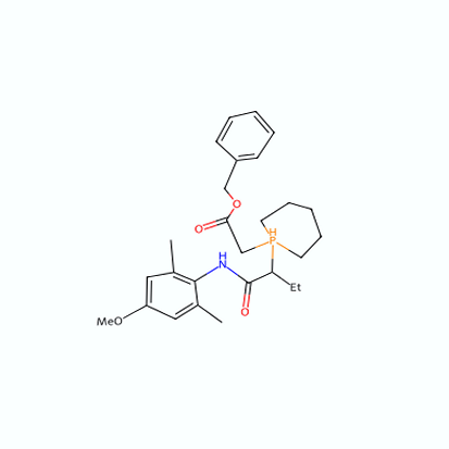 CCC(C(=O)Nc1c(C)cc(OC)cc1C)[PH]1(CC(=O)OCc2ccccc2)CCCCC1